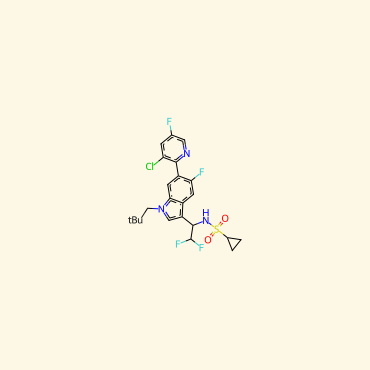 CC(C)(C)Cn1cc(C(NS(=O)(=O)C2CC2)C(F)F)c2cc(F)c(-c3ncc(F)cc3Cl)cc21